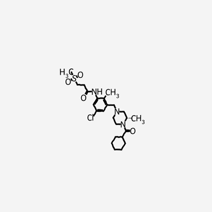 Cc1c(CN2CCN(C(=O)C3CCCCC3)[C@@H](C)C2)cc(Cl)cc1NC(=O)CCS(C)(=O)=O